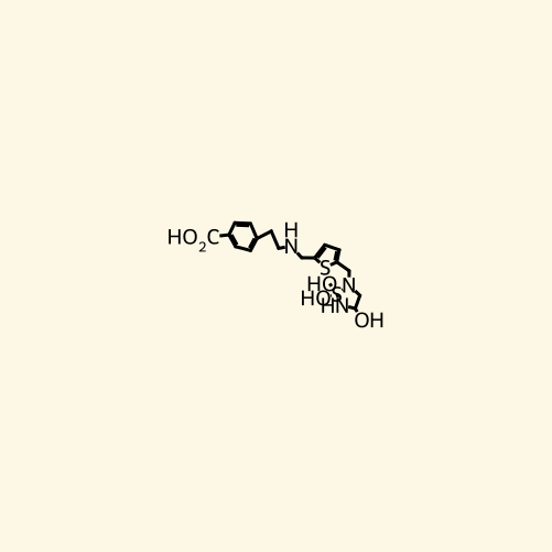 O=C(O)c1ccc(CCNCc2ccc(CN3CC(O)NS3(O)O)s2)cc1